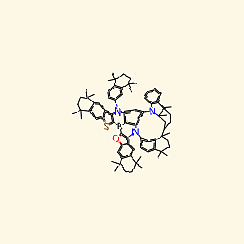 CC1(C)CCC(C)(C)c2cc(N3c4cc5cc6c4B(c4oc7cc8c(cc7c4N6c4ccc6c(c4)C(C)(CCC6(C)C)C4CCC6(C)c7ccccc7N5C6(C)C4)C(C)(C)CCC8(C)C)c4sc5cc6c(cc5c43)C(C)(C)CCC6(C)C)ccc21